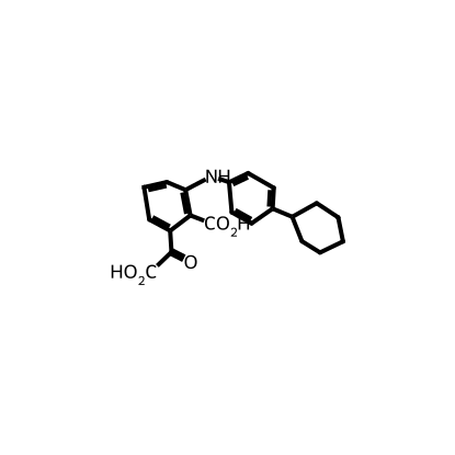 O=C(O)C(=O)c1cccc(Nc2ccc(C3CCCCC3)cc2)c1C(=O)O